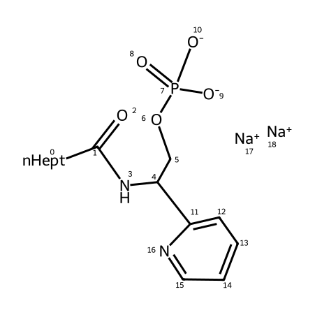 CCCCCCCC(=O)NC(COP(=O)([O-])[O-])c1ccccn1.[Na+].[Na+]